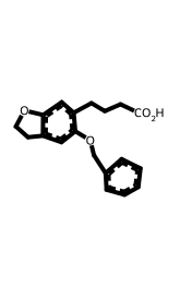 O=C(O)CCCc1cc2c(cc1OCc1ccccc1)CCO2